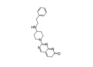 O=C1CC=c2cnc(N3CCC(NCCc4ccccc4)CC3)nc2=N1